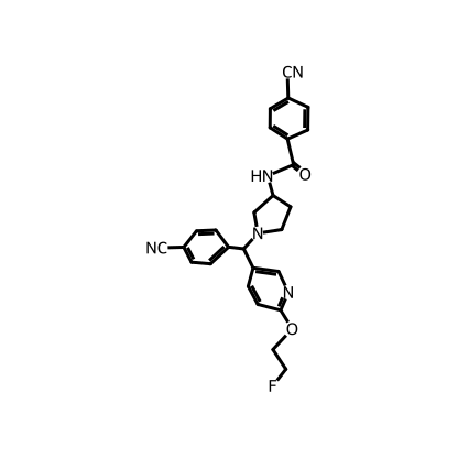 N#Cc1ccc(C(=O)NC2CCN(C(c3ccc(C#N)cc3)c3ccc(OCCF)nc3)C2)cc1